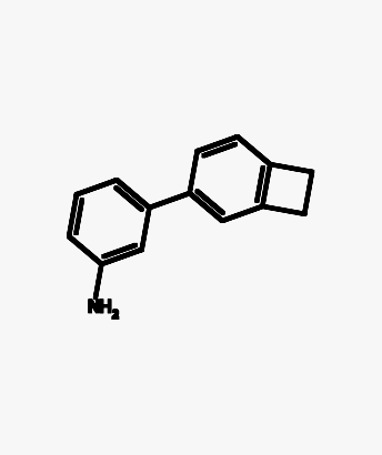 Nc1cccc(-c2ccc3c(c2)CC3)c1